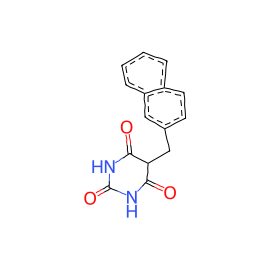 O=C1NC(=O)C(Cc2ccc3ccccc3c2)C(=O)N1